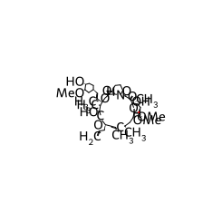 C=CC[C@@H]1/C=C(\C)C[C@H](C)C[C@H](OC)[C@H]2O[C@@](O)(C(=O)C(=O)N3CCCC[C@H]3C(=O)O[C@H](/C(C)=C/[C@@H]3CC[C@@H](O)[C@H](OC)C3)[C@H](C)C(O)CC1=O)[C@H](C)C[C@@H]2OC